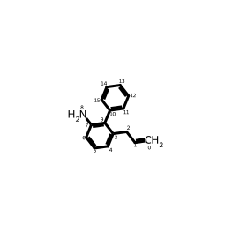 C=CCc1cccc(N)c1-c1ccccc1